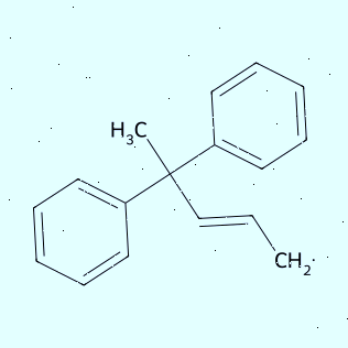 [CH2]C=CC(C)(c1ccccc1)c1ccccc1